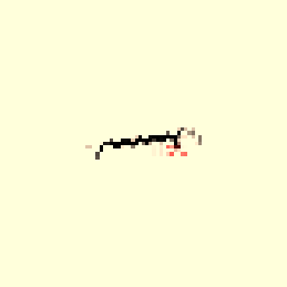 C=C(CC=CCCCCCCC)C(=O)O